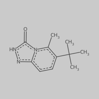 Cc1c(C(C)(C)C)ccc2n[nH]c(=O)n12